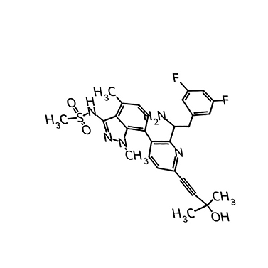 Cc1ccc(-c2ccc(C#CC(C)(C)O)nc2C(N)Cc2cc(F)cc(F)c2)c2c1c(NS(C)(=O)=O)nn2C